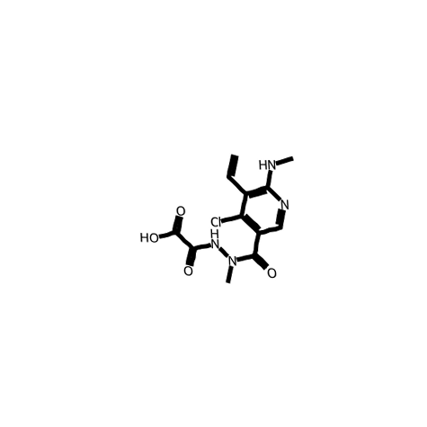 C=Cc1c(NC)ncc(C(=O)N(C)NC(=O)C(=O)O)c1Cl